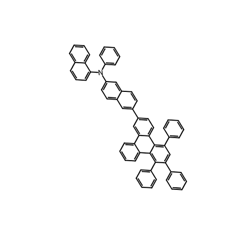 c1ccc(-c2cc(-c3ccccc3)c3c4ccc(-c5ccc6cc(N(c7ccccc7)c7cccc8ccccc78)ccc6c5)cc4c4ccccc4c3c2-c2ccccc2)cc1